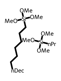 CCCCCCCCCCCCCCCC[Si](OC)(OC)OC.CCC[Si](OC)(OC)OC